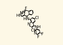 N#Cc1cnc2c(N[C@H](c3c[nH]nn3)c3ccccc3C(F)F)cc(Cl)cc2c1Nc1cnc(F)c(F)c1